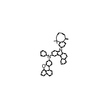 C=C1/C=C\C=C/CC(C)(C)c2cc(-n3c4ccc(N(c5ccccc5)c5ccc6c(c5)Oc5cccc7cccc-6c57)cc4c4c5ccccc5ccc43)ccc21